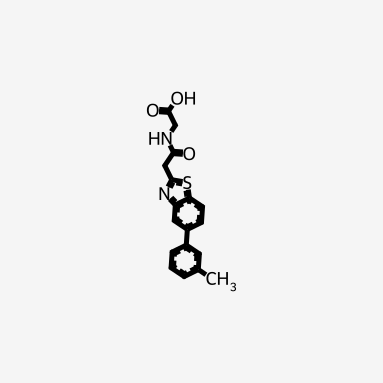 Cc1cccc(-c2ccc3sc(CC(=O)NCC(=O)O)nc3c2)c1